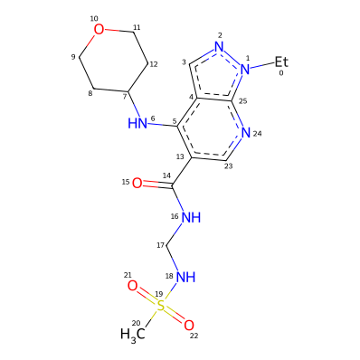 CCn1ncc2c(NC3CCOCC3)c(C(=O)NCNS(C)(=O)=O)cnc21